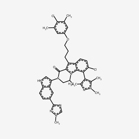 Cc1cc(OCCCc2c3n(c4c(-c5c(C)nn(C)c5C)c(Cl)ccc24)C(C)CN(c2c[nH]c4ccc(-c5ncn(C)n5)cc24)C3=O)cc(C)c1Cl